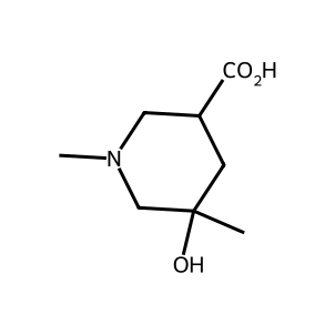 CN1CC(C(=O)O)CC(C)(O)C1